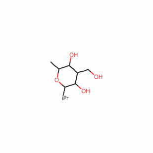 CC(C)C1OC(C)C(O)C(CO)C1O